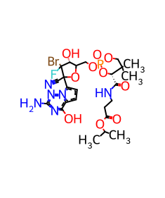 CC(C)OC(=O)CCNC(=O)[C@@H]1OP(=O)(OCC2OC(C#N)(c3ccc4c(O)nc(N)nn34)C(F)(Br)[C@@H]2O)OCC1(C)C